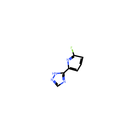 Fc1cccc(-c2n[c]n[nH]2)n1